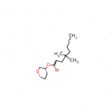 CCCCC(C)(C)CC=C(Br)OC1CCCOC1